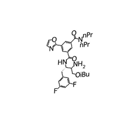 CCCN(CCC)C(=O)c1cc(C(=O)N[C@@H](Cc2cc(F)cc(F)c2)C(N)COCC(C)C)cc(-c2ncco2)c1